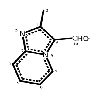 Cc1nc2ccccn2c1[C]=O